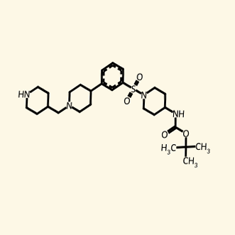 CC(C)(C)OC(=O)NC1CCN(S(=O)(=O)c2cccc(C3CCN(CC4CCNCC4)CC3)c2)CC1